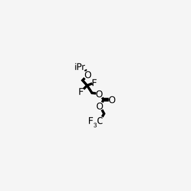 CC(C)OCC(F)(F)COC(=O)OCC(F)(F)F